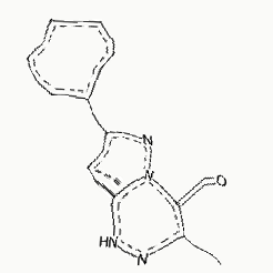 Cc1n[nH]c2cc(-c3ccccc3)nn2c1=O